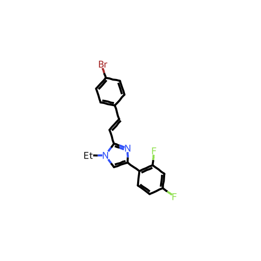 CCn1cc(-c2ccc(F)cc2F)nc1C=Cc1ccc(Br)cc1